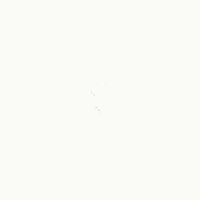 CCC(C)[N][N]C(CC)(CC)CC